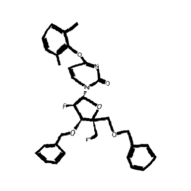 Cc1cccc(C)c1Oc1ccn([C@@H]2O[C@](CF)(COCc3ccccc3)[C@@H](OCc3ccccc3)[C@H]2F)c(=O)n1